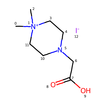 C[N+]1(C)CCN(CC(=O)O)CC1.[I-]